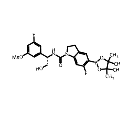 COc1cc(F)cc([C@@H](CO)NC(=O)N2CCc3cc(B4OC(C)(C)C(C)(C)O4)c(F)cc32)c1